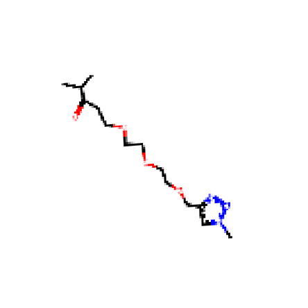 CC(C)C(=O)CCOCCOCCOCc1cn(C)nn1